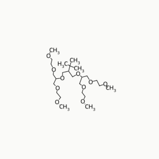 COCCOCC(COCCOC)OCC(COC(COCCOC)COCCOC)C(C)(C)C